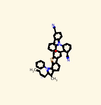 C=C/C=C\c1c(C)c2ccc3c4cc(-c5c(C#N)cccc5-n5c6ccccc6c6cc(C#N)ccc65)ccc4sc3c2n1-c1ccccc1